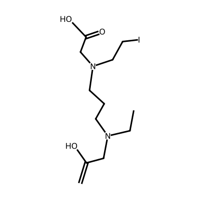 C=C(O)CN(CC)CCCN(CCI)CC(=O)O